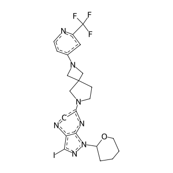 FC(F)(F)c1cc(N2CC3(CCN(c4cnc5c(I)nn(C6CCCCO6)c5n4)C3)C2)ccn1